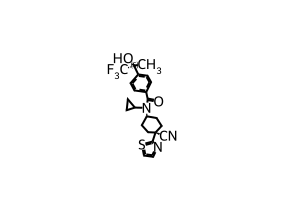 C[C@](O)(c1ccc(C(=O)N(C2CC2)[C@H]2CC[C@@](C#N)(c3nccs3)CC2)cc1)C(F)(F)F